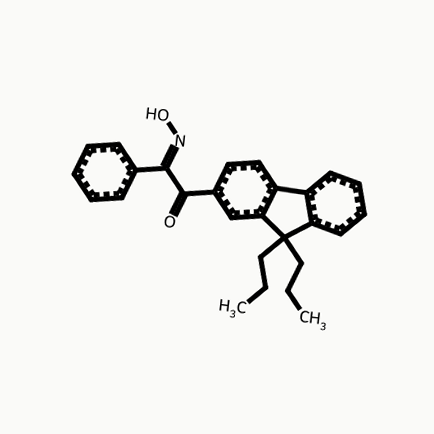 CCCC1(CCC)c2ccccc2-c2ccc(C(=O)C(=NO)c3ccccc3)cc21